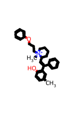 Cc1ccc(O)c(/C(=C/C2CCCC[N+]2(C)CCCOc2ccccc2)c2ccccc2)c1